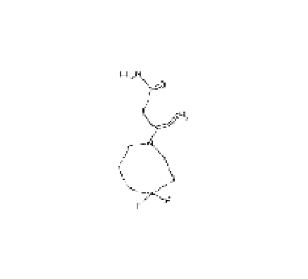 C=C(CC(N)=O)N1CCCC(F)(F)CC1